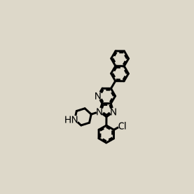 Clc1ccccc1-c1nc2cc(-c3ccc4ccccc4c3)cnc2n1C1CCNCC1